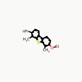 CCCc1ccc2c(sc3c(C)c(OCC)ccc32)c1C